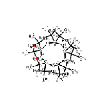 CC(C)(C)[Si]1(C(C)(C)C)O[Si](C(C)(C)C)(C(C)(C)C)O[Si](C(C)(C)C)(C(C)(C)C)O[Si](C(C)(C)C)(C(C)(C)C)O[Si](C(C)(C)C)(C(C)(C)C)O1